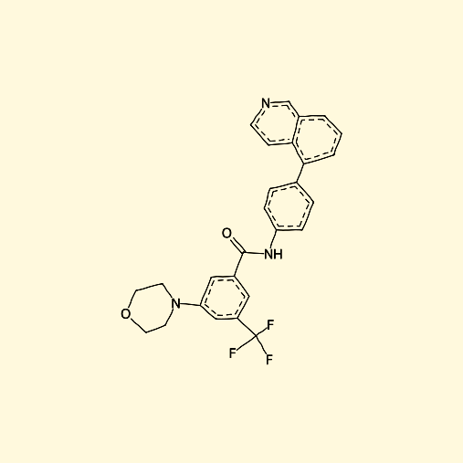 O=C(Nc1ccc(-c2cccc3cnccc23)cc1)c1cc(N2CCOCC2)cc(C(F)(F)F)c1